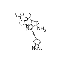 C=CC(=O)N1CC[C@H](n2nc(C#Cc3ccc4c(c3)ncn4CC)c3c(N)ncc(C(=O)CC)c32)C1